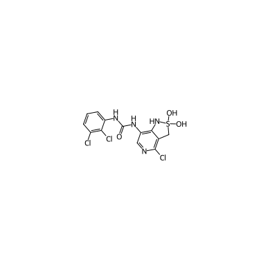 O=C(Nc1cccc(Cl)c1Cl)Nc1cnc(Cl)c2c1NS(O)(O)C2